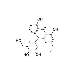 C=C1c2c(O)cccc2C(C2OC(CO)C(O)C(O)C2C)c2cc(CC)cc(O)c21